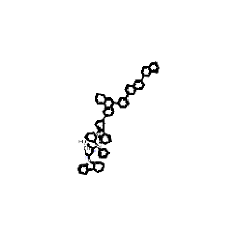 C=C/C(=C\C(=C/C)n1c2ccccc2c2ccccc21)[Si](c1ccccc1)(c1ccccc1)c1cccc2c1sc1ccc(-c3ccc4c(-c5cccc(-c6ccc7cc(-c8ccc9ccccc9c8)ccc7c6)c5)cc5ccccc5c4c3)cc12